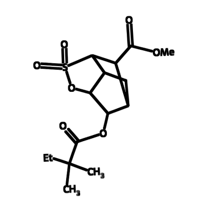 CCC(C)(C)C(=O)OC1C2CC3C1OS(=O)(=O)C3C2C(=O)OC